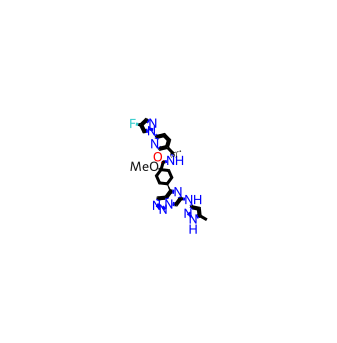 CO[C@]1(C(=O)N[C@@H](C)c2ccc(-n3cc(F)cn3)nc2)CC[C@H](c2nc(Nc3cc(C)[nH]n3)cn3nncc23)CC1